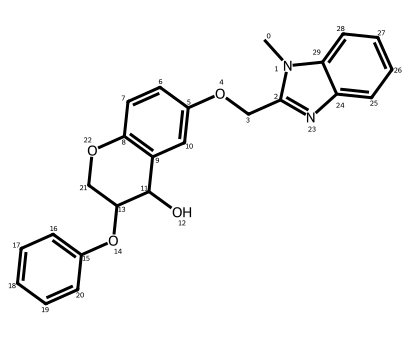 Cn1c(COc2ccc3c(c2)C(O)C(Oc2ccccc2)CO3)nc2ccccc21